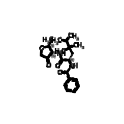 CC(C)C(C)(C)C[C@H](NC(=O)c1ccccc1)C(=O)N[C@@H]1C(=O)CO[C@H]1C